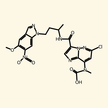 COc1cc2cnn(CCC(C)NC(=O)c3cnc4c(N(C)C(=O)O)cc(Cl)nn34)c2cc1[N+](=O)[O-]